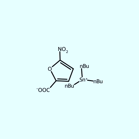 CCC[CH2][Sn+]([CH2]CCC)[CH2]CCC.O=C([O-])c1ccc([N+](=O)[O-])o1